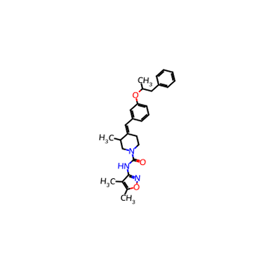 Cc1onc(NC(=O)N2CCC(=Cc3cccc(OC(C)Cc4ccccc4)c3)C(C)C2)c1C